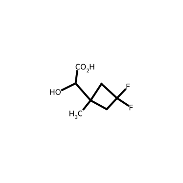 CC1(C(O)C(=O)O)CC(F)(F)C1